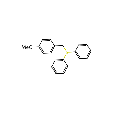 COc1ccc(C[SH](c2ccccc2)c2ccccc2)cc1